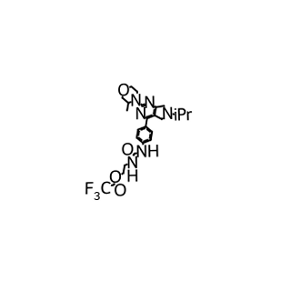 CC(C)N1Cc2nc(N3CCOCC3C)nc(-c3ccc(NC(=O)NCCOC(=O)C(F)(F)F)cc3)c2C1